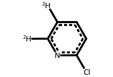 [2H]c1ccc(Cl)nc1[2H]